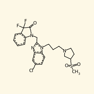 CS(=O)(=O)C1CCN(CCCn2c(CN3C(=O)C(F)(F)c4ccccc43)nc3cc(Cl)ccc32)C1